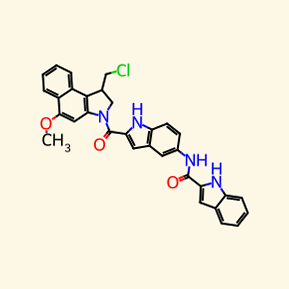 COc1cc2c(c3ccccc13)C(CCl)CN2C(=O)c1cc2cc(NC(=O)c3cc4ccccc4[nH]3)ccc2[nH]1